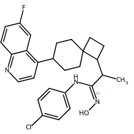 CC(/C(=N/O)Nc1ccc(Cl)cc1)C1CCC12CCC(c1ccnc3ccc(F)cc13)CC2